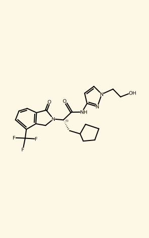 O=C(Nc1ccn(CCO)n1)[C@H](CC1CCCC1)N1Cc2c(cccc2C(F)(F)F)C1=O